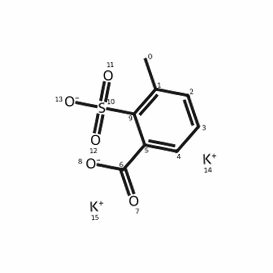 Cc1cccc(C(=O)[O-])c1S(=O)(=O)[O-].[K+].[K+]